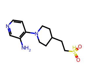 Nc1cnccc1N1CCC(CC[SH](=O)=O)CC1